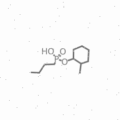 CCCCP(=O)(O)OC1CCCCC1C